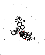 Cc1ccc2c(NC(=O)Nc3c4ccc(C)c3S(=O)(=O)N4c3ccc4c(O)c(S(=O)(=O)O)ccc4c3)c1S(=O)(=O)N2c1ccc2c(O)c(S(=O)(=O)O)ccc2c1